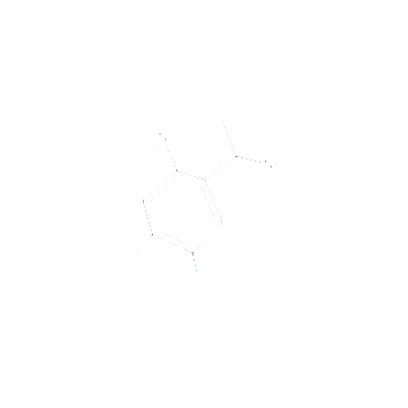 CC(c1cc(Cl)c(Cl)cc1[N+](=O)[O-])[N+](=O)[O-]